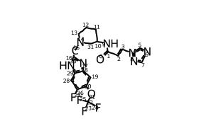 O=C(/C=C/n1cncn1)NC1CCCN(Cc2nc3cc(OC(F)(F)F)c(F)cc3[nH]2)C1